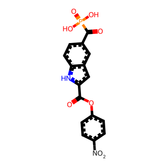 O=C(Oc1ccc([N+](=O)[O-])cc1)c1cc2cc(C(=O)P(=O)(O)O)ccc2[nH]1